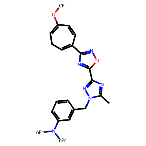 CCCN(CCC)c1cccc(Cn2nc(-c3nc(C4=CCC=C(OC(F)(F)F)C=C4)no3)nc2C)c1